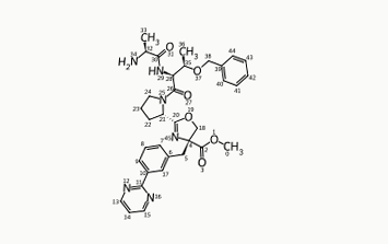 COC(=O)[C@@]1(Cc2cccc(-c3ncccn3)c2)COC([C@@H]2CCCN2C(=O)[C@@H](NC(=O)[C@H](C)N)[C@@H](C)OCc2ccccc2)=N1